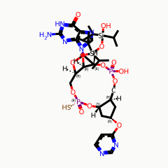 CC(C)[Si](O)(O[Si](O[C@H]1[C@H]2OP(=O)(O)OC[C@H]3C[C@@H](Oc4ccncn4)C[C@@H]3O[P@](=O)(S)OC[C@H]1O[C@H]2n1cnc2c(=O)[nH]c(N)nc21)(C(C)C)C(C)C)C(C)C